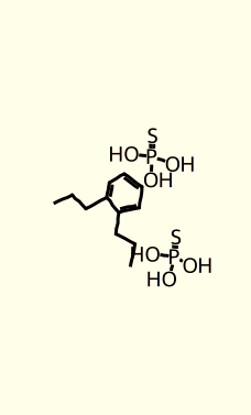 CCCc1ccccc1CCC.OP(O)(O)=S.OP(O)(O)=S